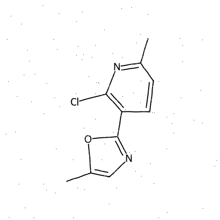 Cc1ccc(-c2ncc(C)o2)c(Cl)n1